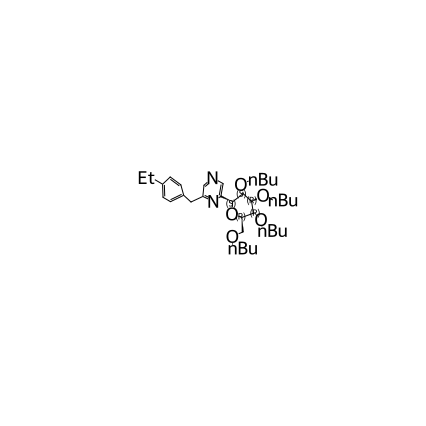 CCCCOC[C@H]1O[C@@H](c2cncc(Cc3ccc(CC)cc3)n2)[C@H](OCCCC)[C@@H](OCCCC)[C@@H]1OCCCC